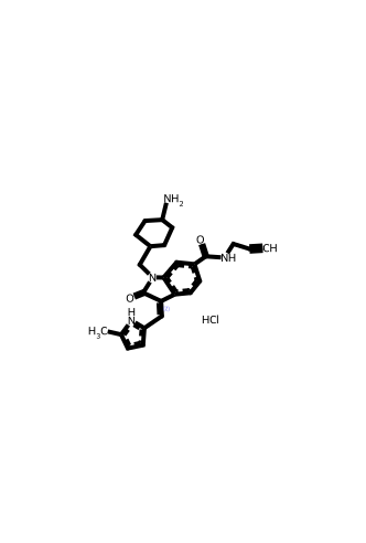 C#CCNC(=O)c1ccc2c(c1)N(CC1CCC(N)CC1)C(=O)/C2=C\c1ccc(C)[nH]1.Cl